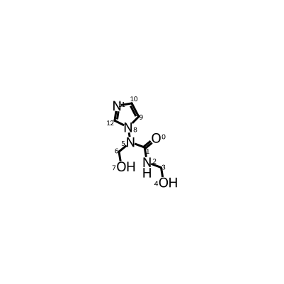 O=C(NCO)N(CO)n1ccnc1